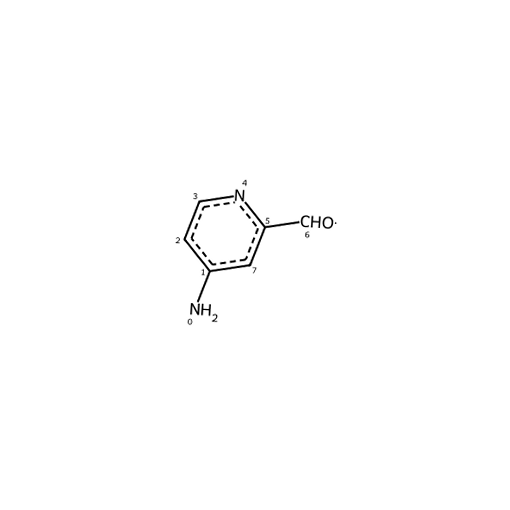 Nc1ccnc([C]=O)c1